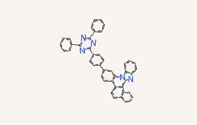 c1ccc(-c2nc(-c3ccccc3)nc(-c3ccc(-c4ccc5c6ccc7ccccc7c6c6nc7ccccc7n6c5c4)cc3)n2)cc1